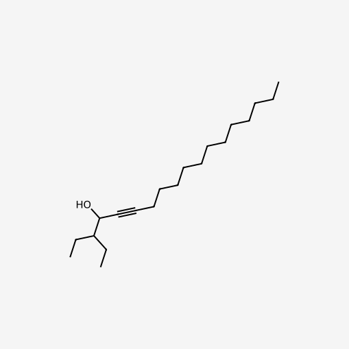 CCCCCCCCCCCCC#CC(O)C(CC)CC